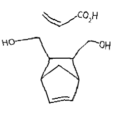 C=CC(=O)O.OCC1C2C=CC(C2)C1CO